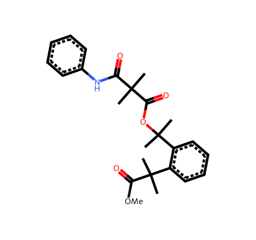 COC(=O)C(C)(C)c1ccccc1C(C)(C)OC(=O)C(C)(C)C(=O)Nc1ccccc1